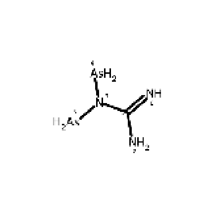 N=C(N)N([AsH2])[AsH2]